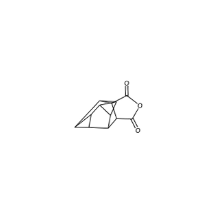 O=C1OC(=O)C2C1C1C3C4C2C2C1C2C34